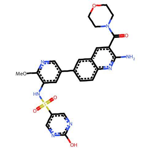 COc1ncc(-c2ccc3nc(N)c(C(=O)N4CCOCC4)cc3c2)cc1NS(=O)(=O)c1cnc(O)nc1